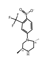 C[C@@H]1CN[C@@H](C)CN1c1ccc([N+](=O)[O-])c(C(F)(F)F)c1